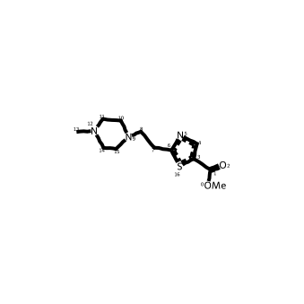 COC(=O)c1cnc(CCN2CCN(C)CC2)s1